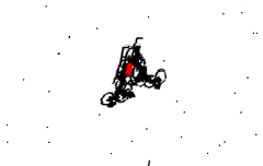 C=CC(=O)OCC(COCC(F)(F)OC(F)(F)OC(F)(F)COC(COC(=O)C=C)OC(=O)C=C)OC(=O)C=C